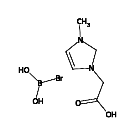 CN1C=CN(CC(=O)O)C1.OB(O)Br